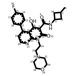 CC1CC(NC(=O)c2c(O)c3c(-c4ccc(F)cc4)ccnc3n(CCN3CCOCC3)c2=O)C1